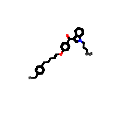 CC(C)Cc1ccc(CCCC=COc2ccc(C(=O)c3cn(CCCC(=O)O)c4ccccc34)cc2)cc1